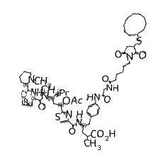 CC[C@H](C)[C@H](NC(=O)[C@H]1CCCCN1C)C(=O)N(C)[C@H](C[C@@H](OC(C)=O)c1nc(C(=O)N[C@@H](Cc2ccc(NC(=O)CNC(=O)CCCCCN3C(=O)CC(SC4CCCCCCCCC4)C3=O)cc2)CC(C)C(=O)O)cs1)C(C)C